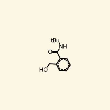 CC(C)(C)NC(=O)c1ccccc1CO